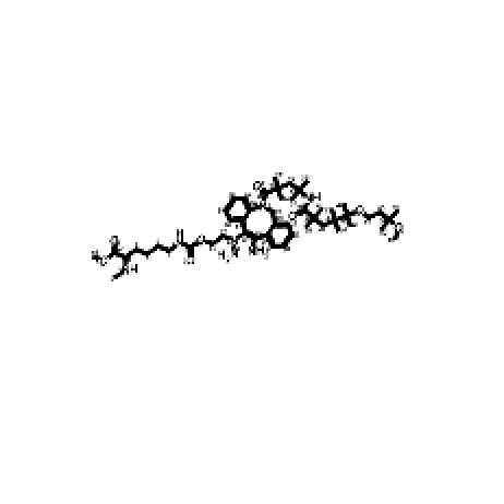 CNC(CCCCNC(=O)OCCN(N)/C1=C(\N)c2ccccc2CN(C(=O)C(C)(C)CC(C)(C)NC(=O)C(C)(C)CC(C)(C)C(C)(C)OCCC(C)(C)OC)c2ccccc21)C(=O)OC